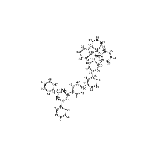 c1ccc(-c2cc(-c3ccc(-c4cccc(-c5ccc6c(c5)-c5ccccc5C6(c5ccccc5)c5ccccc5)c4)cc3)nc(-c3ccccc3)n2)cc1